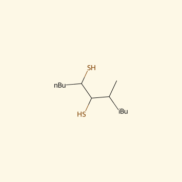 CCCCC(S)C(S)C(C)C(C)CC